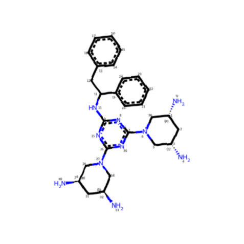 N[C@@H]1C[C@H](N)CN(c2nc(NC(Cc3ccccc3)c3ccccc3)nc(N3C[C@H](N)C[C@H](N)C3)n2)C1